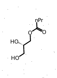 CCCC(=O)OC[C@@H](O)CO